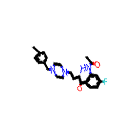 CC(=O)Nc1cc(F)ccc1C(=O)CCCN1CCN(Cc2ccc(C)cc2)CC1